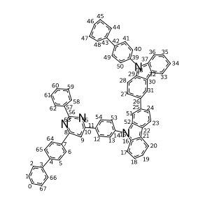 c1ccc(-c2ccc(-c3cc(-c4ccc(-n5c6ccccc6c6ccc(-c7ccc8c(c7)c7ccccc7n8-c7ccc(-c8ccccc8)cc7)cc65)cc4)nc(-c4ccccc4)n3)cc2)cc1